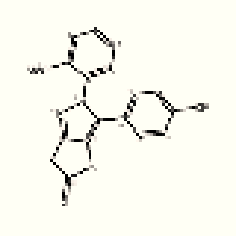 COc1ccccc1-n1nc2c(c1-c1ccc(Cl)cc1)CC(=O)C2